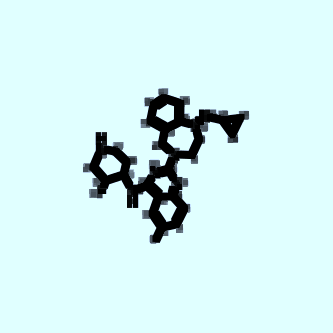 Cc1ccc2nc(N3CCS(=NC4CC4)c4ccccc4C3)nc(NC3CCNCC3F)c2c1